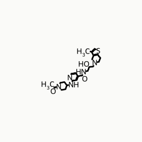 CC(=O)N1CCC(Nc2cc(C(=O)NC[C@H](O)CN3CCc4scc(C)c4C3)ccn2)CC1